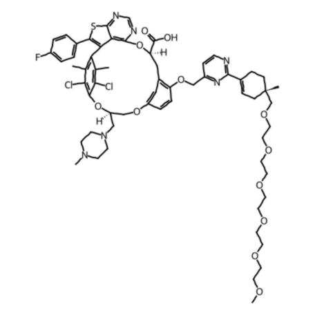 COCCOCCOCCOCCOCCOC[C@]1(C)CC=C(c2nccc(COc3ccc4cc3C[C@H](C(=O)O)Oc3ncnc5sc(-c6ccc(F)cc6)c(c35)-c3c(C)c(Cl)c(c(Cl)c3C)O[C@H](CN3CCN(C)CC3)CO4)n2)CC1